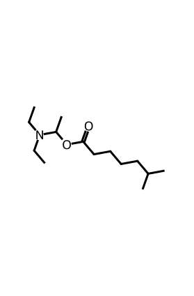 CCN(CC)C(C)OC(=O)CCCCC(C)C